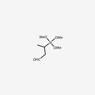 CO[Si](OC)(OC)C(C)CC=O